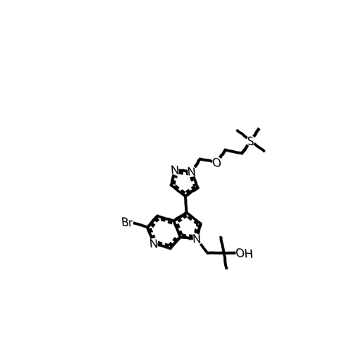 CC(C)(O)Cn1cc(-c2cnn(COCCS(C)(C)C)c2)c2cc(Br)ncc21